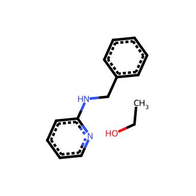 CCO.c1ccc(CNc2ccccn2)cc1